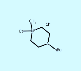 CCCCN1CC[N+](C)(CC)CC1.[Cl-]